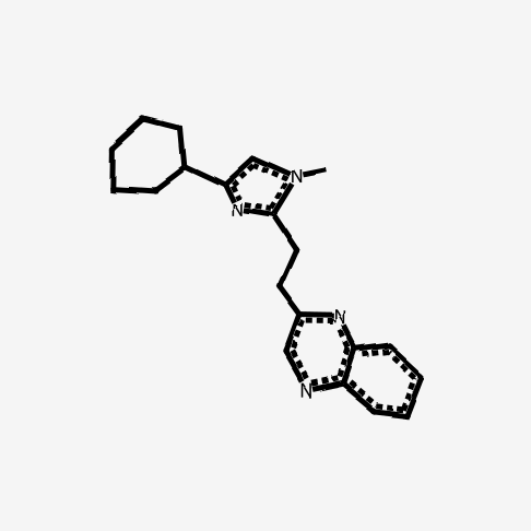 Cn1cc(C2CCCCC2)nc1CCc1cnc2ccccc2n1